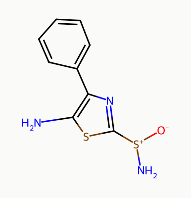 Nc1sc([S+](N)[O-])nc1-c1ccccc1